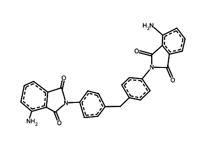 Nc1cccc2c1C(=O)N(c1ccc(Cc3ccc(N4C(=O)c5cccc(N)c5C4=O)cc3)cc1)C2=O